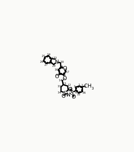 Cc1ccc(S(=O)(=O)N=S2(=O)CCC(COc3coc(CN4Cc5ccccc5C4)cc3=O)CC2)cc1